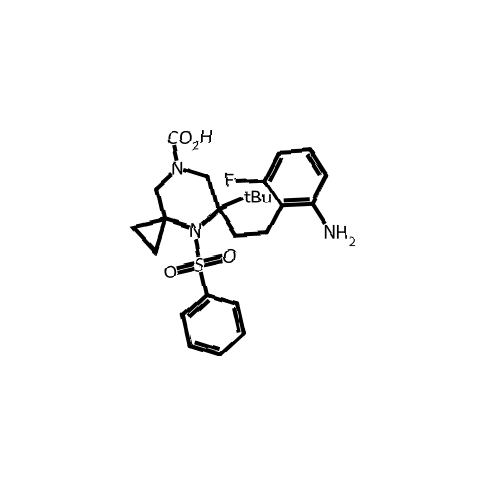 CC(C)(C)C1(CCc2c(N)cccc2F)CN(C(=O)O)CC2(CC2)N1S(=O)(=O)c1ccccc1